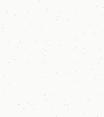 CCCCCCCCCCCCCCOC1CNCC1OCCCCCCCCCCCCCC